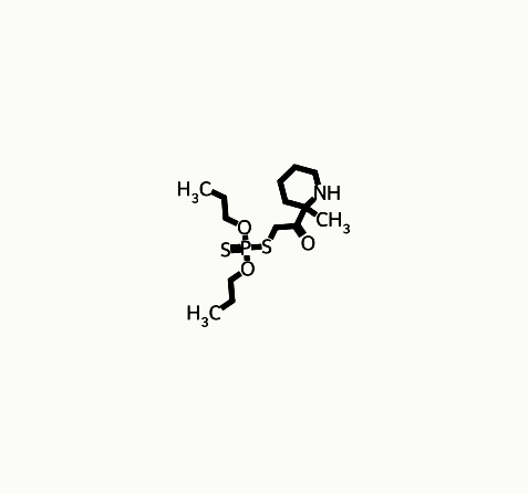 CCCOP(=S)(OCCC)SCC(=O)C1(C)CCCCN1